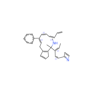 C=C\C=C/C=C\C(=C\CC1=C(C(C)(NC)C(/C=C\C2=NC=C2)=C\C)CC=C1)c1ccccc1